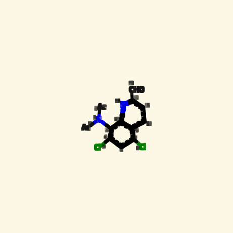 CC(=O)N(C(C)=O)c1c(Cl)cc(Cl)c2ccc(C=O)nc12